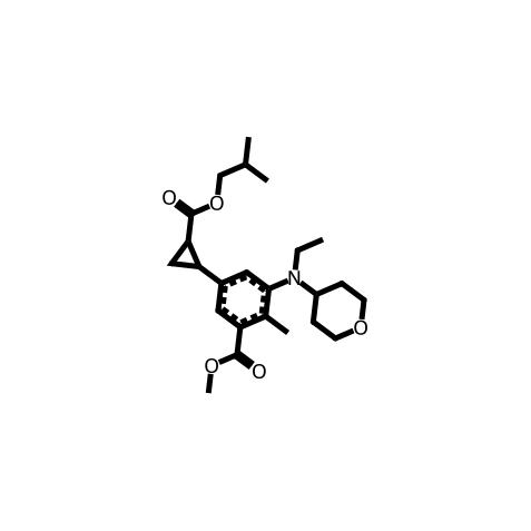 CCN(c1cc(C2CC2C(=O)OCC(C)C)cc(C(=O)OC)c1C)C1CCOCC1